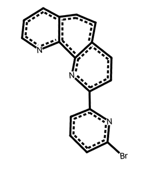 Brc1cccc(-c2ccc3ccc4cccnc4c3n2)n1